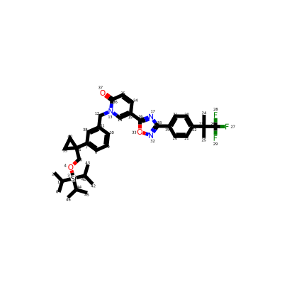 CC(C)[Si](OCC1(c2cccc(Cn3cc(-c4nc(-c5ccc(C(C)(C)C(F)(F)F)cc5)no4)ccc3=O)c2)CC1)(C(C)C)C(C)C